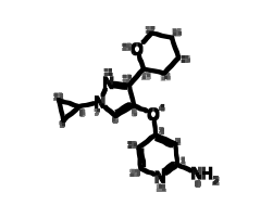 Nc1cc(Oc2cn(C3CC3)nc2C2CCCCO2)ccn1